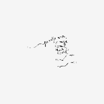 C=C.C=C.C=C.C=C.C=C.C=C.OCCO.OCCO.OCCO